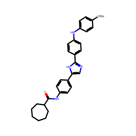 COc1ccc(Nc2ccc(-c3ncc(-c4ccc(NC(=O)C5CCCCCC5)cc4)[nH]3)cc2)cc1